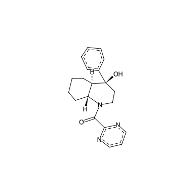 O=C(c1ncccn1)N1CC[C@@](O)(c2ccccc2)[C@@H]2CCCC[C@H]21